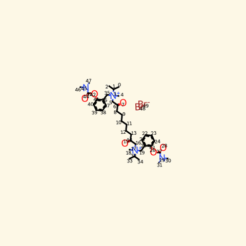 CC(C)[N+](C)(CC(=O)CCCCCCC(=O)C[N+](C)(Cc1ccccc1OC(=O)N(C)C)C(C)C)Cc1ccccc1OC(=O)N(C)C.[Br-].[Br-]